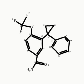 NC(=O)c1ccc(OC(F)(F)F)c(C2(c3ccccc3)CC2)c1